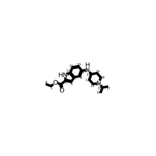 CCOC(=O)c1cc2cc(NC3CCN(C(C)C)CC3)ccc2[nH]1